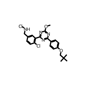 COc1nc(-c2ccc(OCC(C)(C)C)cc2)nc(-c2cc(CNCl)ccc2Cl)n1